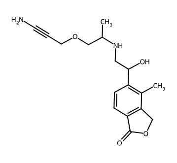 Cc1c(C(O)CNC(C)COCC#CN)ccc2c1COC2=O